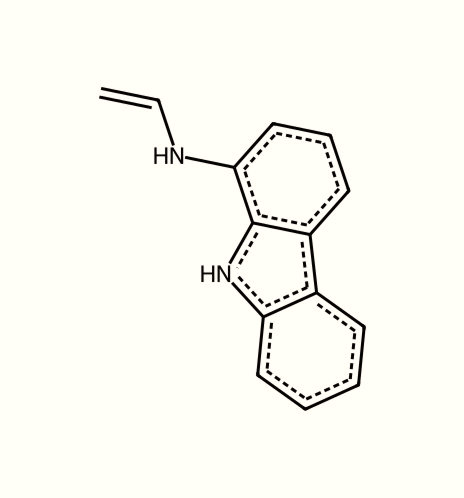 C=CNc1cccc2c1[nH]c1ccccc12